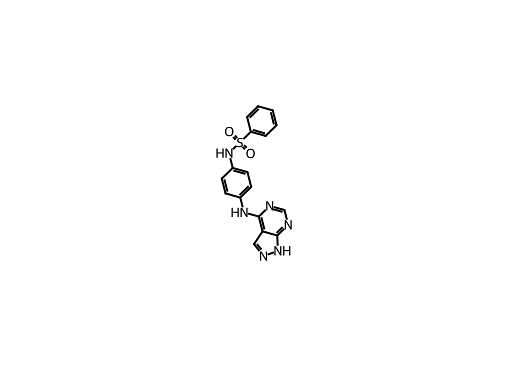 O=S(=O)(Nc1ccc(Nc2ncnc3[nH]ncc23)cc1)c1ccccc1